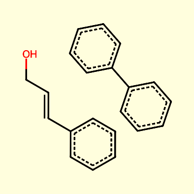 OCC=Cc1ccccc1.c1ccc(-c2ccccc2)cc1